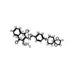 NC1=C(NCc2ccc(N3CCC4(CC3)OCCO4)cc2)C(=O)c2ccccc2C1=O